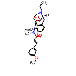 C=CCN1CC[C@]23CC(N(C)C(=O)/C=C/c4cccc(OC(F)(F)F)c4)CC[C@@]2(O)[C@H]1Cc1ccc(O)c(OC)c13